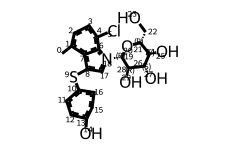 Cc1ccc(Cl)c2c1c(Sc1ccc(O)cc1)cn2[C@@H]1O[C@H](CO)[C@@H](O)[C@H](O)[C@H]1O